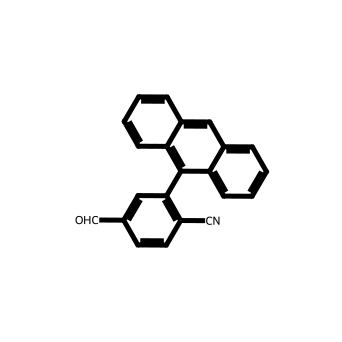 N#Cc1ccc(C=O)cc1-c1c2ccccc2cc2ccccc12